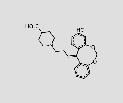 Cl.O=C(O)C1CCN(CCC=C2c3ccccc3OCOc3ccccc32)CC1